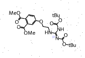 COC(=O)c1ccc(OCCN/C(=N/C(=O)OC(C)(C)C)NC(=O)OC(C)(C)C)cc1C(=O)OC